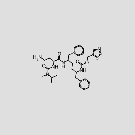 CC(C)N(C)C(=O)N[C@@H](CCN)C(=O)N[C@H](CC[C@H](Cc1ccccc1)NC(=O)OCc1cncs1)Cc1ccccc1